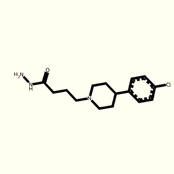 NNC(=O)CCCN1CCC(c2ccc(Cl)cc2)CC1